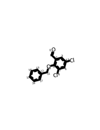 O=Cc1cc(Cl)cc(Cl)c1OCc1ccccc1